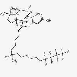 C[C@]1(O)CC[C@H]2[C@@H]3[C@H](CCCCC[N+](C)([O-])CCCCCCC(F)(F)C(F)(F)C(F)(F)C(F)(F)F)Cc4cc(O)ccc4[C@H]3[C@@H](F)C[C@@]21C